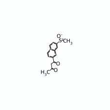 CC(=O)CC(=O)c1ccc2ccc([S+](C)[O-])cc2c1